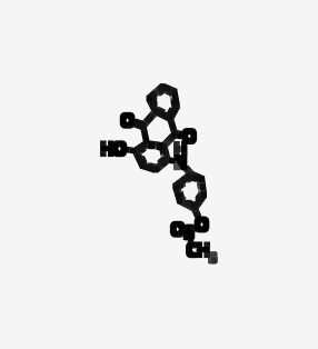 CS(=O)Oc1ccc(Nc2ccc(O)c3c2C(=O)c2ccccc2C3=O)cc1